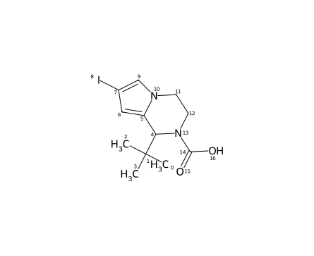 CC(C)(C)C1c2cc(I)cn2CCN1C(=O)O